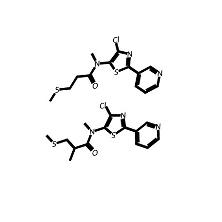 CSCC(C)C(=O)N(C)c1sc(-c2cccnc2)nc1Cl.CSCCC(=O)N(C)c1sc(-c2cccnc2)nc1Cl